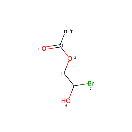 CCCC(=O)OCC(O)Br